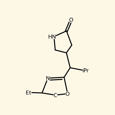 CCC1COC(C(C(C)C)C2CNC(=O)C2)=N1